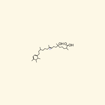 CC1=CC=C(CCC(C)CCC/C(C)=C/CCC(C)(O)CCCC(C)C(=O)O)C(C)C1C